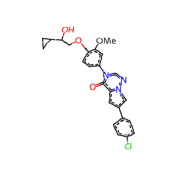 COc1cc(-n2cnn3cc(-c4ccc(Cl)cc4)cc3c2=O)ccc1OCC(O)C1CC1